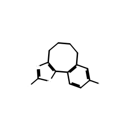 Cc1ccc2c(c1)CCCCc1nc(C(C)(C)C)[nH]c1-2